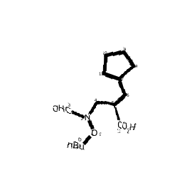 CCCCON(C=O)C[C@@H](CC1CCCC1)C(=O)O